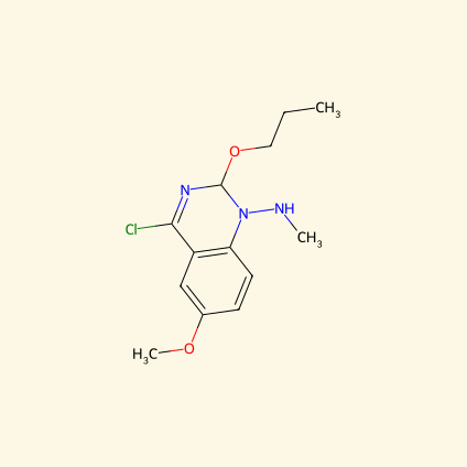 CCCOC1N=C(Cl)c2cc(OC)ccc2N1NC